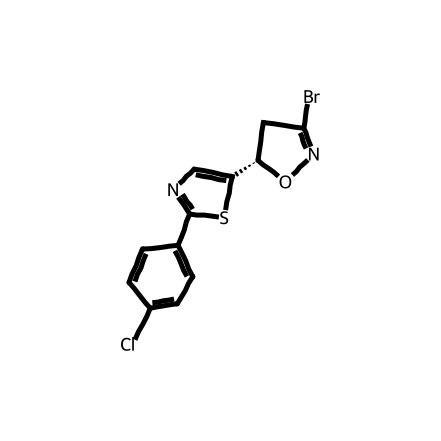 Clc1ccc(-c2ncc([C@@H]3CC(Br)=NO3)s2)cc1